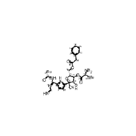 CC[C@@H](C)C(=O)N/C(=N/C=N)c1ccc([C@]2(C#N)O[C@H](COC(=O)Cc3ccccc3)[C@@H](OC(=O)[C@@H](N)C(C)(C)C)[C@H]2O)[nH]1